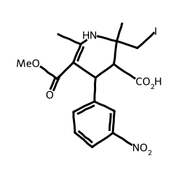 COC(=O)C1=C(C)NC(C)(CI)C(C(=O)O)C1c1cccc([N+](=O)[O-])c1